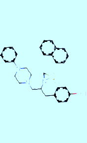 O=S1(=O)CN1C(Cc1ccc(O)cc1)CN1CCN(c2ccccc2)CC1.c1ccc2ccccc2c1